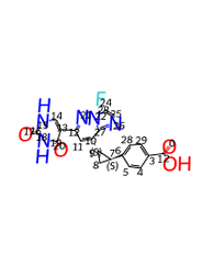 O=C(O)c1ccc([C@H]2C[C@@H]2c2cc(-c3c[nH]c(=O)[nH]c3=O)nn3c(F)cnc23)cc1